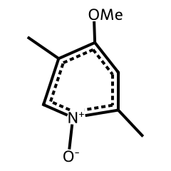 COc1cc(C)[n+]([O-])cc1C